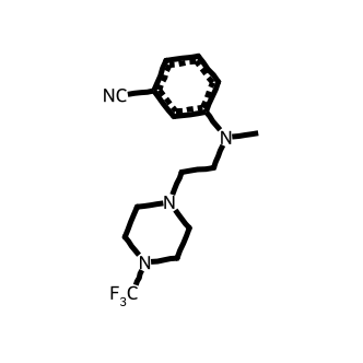 CN(CCN1CCN(C(F)(F)F)CC1)c1cccc(C#N)c1